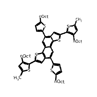 CCCCCCCCc1ccc(-c2cc3c(cc(-c4ccc(CCCCCCCC)s4)c4cc(-c5sc(C)cc5CCCCCCCC)sc43)c3sc(-c4sc(C)cc4CCCCCCCC)cc23)s1